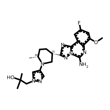 COc1cc(F)cc2c1nc(N)n1nc([C@H]3CC[C@@H](C)N(c4cnn(CC(C)(C)O)c4)C3)nc21